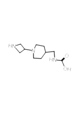 O=C(O)NCC1CCN(C2CNC2)CC1